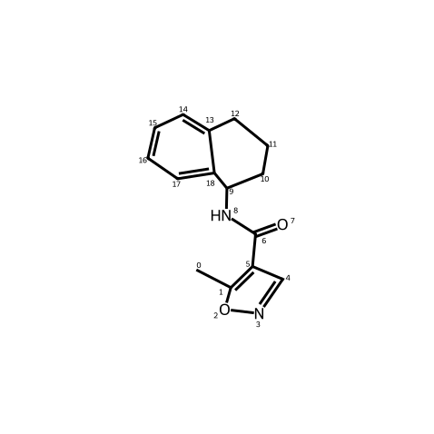 Cc1oncc1C(=O)NC1CCCc2ccccc21